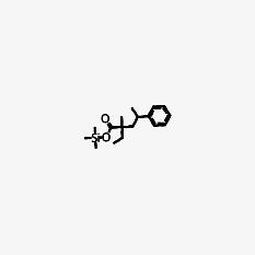 CCC(C)(CC(C)c1ccccc1)C(=O)O[Si](C)(C)C